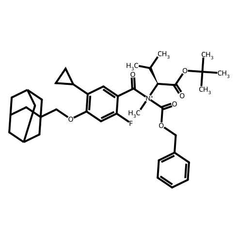 CC(C)[C@@H](C(=O)OC(C)(C)C)[N+](C)(C(=O)OCc1ccccc1)C(=O)c1cc(C2CC2)c(OCC23CC4CC(CC(C4)C2)C3)cc1F